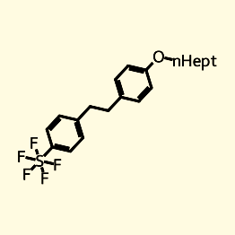 CCCCCCCOc1ccc(CCc2ccc(S(F)(F)(F)(F)F)cc2)cc1